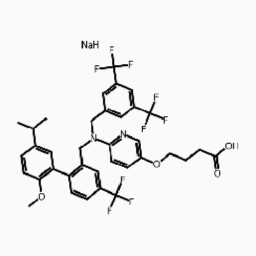 COc1ccc(C(C)C)cc1-c1ccc(C(F)(F)F)cc1CN(Cc1cc(C(F)(F)F)cc(C(F)(F)F)c1)c1ccc(OCCCC(=O)O)cn1.[NaH]